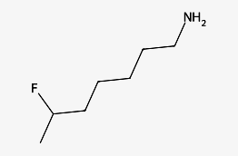 CC(F)CCCCCN